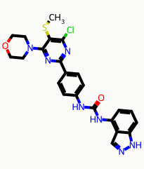 CSc1c(Cl)nc(-c2ccc(NC(=O)Nc3cccc4[nH]ncc34)cc2)nc1N1CCOCC1